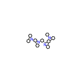 c1ccc(-n2c3ccccc3c3cc4c(cc32)c(-c2cccc(-n3c5ccccc5c5cc(-n6c7ccccc7c7ccccc76)ccc53)c2)nc2ccccc24)cc1